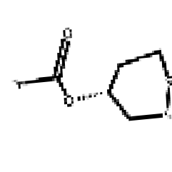 CC(C)C(=O)O[C@@H]1CCSSC1